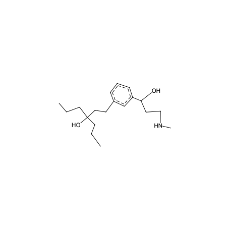 CCCC(O)(CCC)CCc1cccc(C(O)CCNC)c1